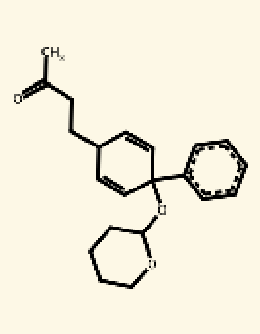 CC(=O)CCC1C=CC(OC2CCCCO2)(c2ccccc2)C=C1